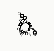 C[C@@H]1[C@@H](C)C/C=C/[C@H](OCCC2CCOCC2)[C@@H]2CC[C@H]2CN2C[C@@]3(CCCc4cc(Cl)ccc43)COc3ccc(cc32)C(=O)NS1(=O)=O